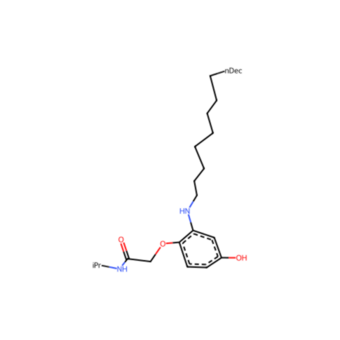 CCCCCCCCCCCCCCCCCCNc1cc(O)ccc1OCC(=O)NC(C)C